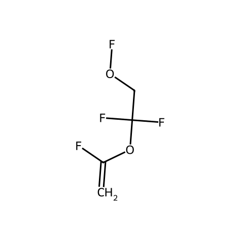 C=C(F)OC(F)(F)COF